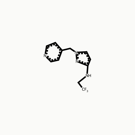 FC(F)(F)CNc1ccn(Cc2ccncc2)n1